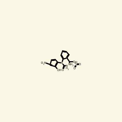 NC(=O)N(c1ccc([N+](=O)[O-])cc1O)c1ccccc1C(N)O[SH](=O)=O